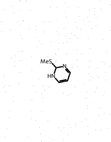 CSC1N=CC=CN1